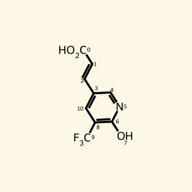 O=C(O)C=Cc1cnc(O)c(C(F)(F)F)c1